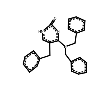 O=c1nc(N(Cc2ccccc2)Cc2ccccc2)c(Cc2ccccc2)c[nH]1